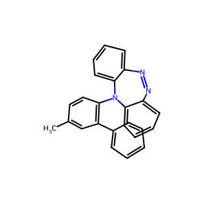 Cc1ccc(N2c3ccccc3N=Nc3ccccc32)c(-c2ccccc2)c1